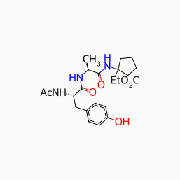 CCOC(=O)C1(NC(=O)[C@H](C)NC(=O)[C@H](Cc2ccc(O)cc2)NC(C)=O)CCCC1